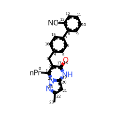 CCCc1c(Cc2ccc(-c3ccccc3C#N)cc2)c(=O)[nH]c2cc(C)nn12